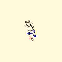 CC(=O)Nc1nc(Cc2ccccc2)c[nH]1